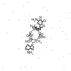 C[C@@H]1[C@@H](n2cnc3c(=O)[nH]c(N)nc32)[C@@H]2OP(=O)(O)OC[C@@]3(C)C[C@@H](n4cnc5c(N)ncnc54)[C@H](O)[C@@H]3O[PH](=O)OC[C@]1(C)[C@H]2O